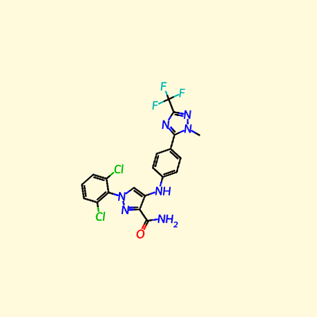 Cn1nc(C(F)(F)F)nc1-c1ccc(Nc2cn(-c3c(Cl)cccc3Cl)nc2C(N)=O)cc1